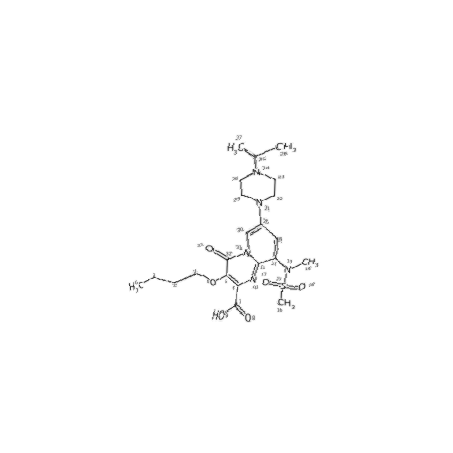 CCCCOc1c(C(=O)O)nc2c(N(C)S(C)(=O)=O)cc(N3CCN(C(C)C)CC3)cn2c1=O